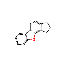 c1ccc2c(c1)oc1c3c(ccc12)CCC3